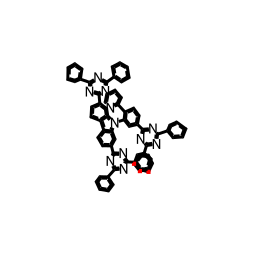 c1ccc(-c2nc(-c3ccccc3)nc(-c3ccc(-c4ccccn4)c(-n4c5cc(-c6nc(-c7ccccc7)nc(-c7ccccc7)n6)ccc5c5ccc(-c6nc(-c7ccccc7)nc(-c7ccccc7)n6)cc54)c3)n2)cc1